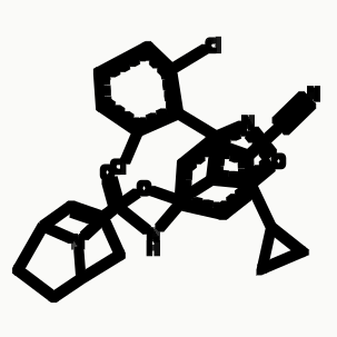 N#Cc1ccc(NC(=O)N2C3C=C(OCc4c(-c5c(Cl)cccc5Cl)noc4C4CC4)CC2CC3)cc1